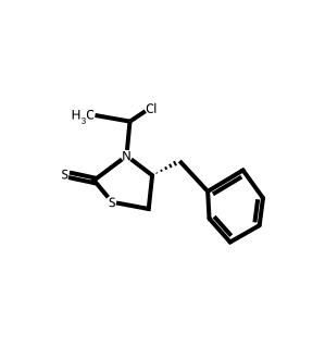 CC(Cl)N1C(=S)SC[C@H]1Cc1ccccc1